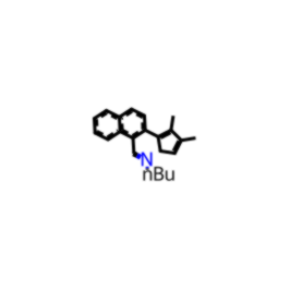 CCCCN=Cc1c(C2=C(C)C(C)=CC2)ccc2ccccc12